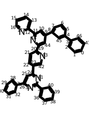 c1ccc(-c2cccc(-c3cc(-c4ccccn4)nc(-c4ccc(-c5cc(-c6ccccc6)nc(-c6ccccc6)n5)cn4)c3)c2)cc1